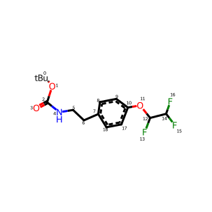 CC(C)(C)OC(=O)NCCc1ccc(OC(F)C(F)F)cc1